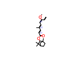 C=C\C(=C/C=C(C)/C=C/C(=O)OC1C2(C)CCC(C2)C1(C)C)OC